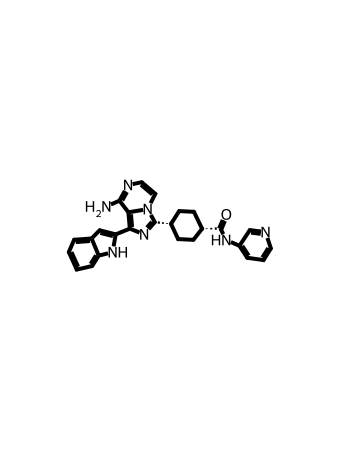 Nc1nccn2c1c(-c1cc3ccccc3[nH]1)nc2[C@H]1CC[C@@H](C(=O)Nc2cccnc2)CC1